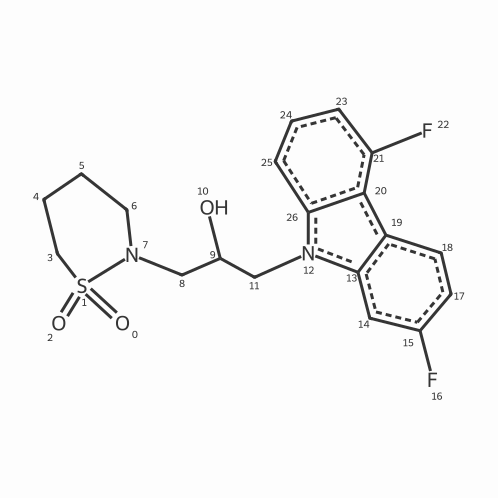 O=S1(=O)CCCCN1CC(O)Cn1c2cc(F)ccc2c2c(F)cccc21